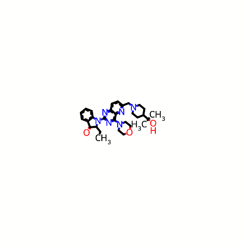 CCC1C(=O)c2ccccc2N1c1nc(N2CCOCC2)c2nc(CN3CCC(C(C)(C)O)CC3)ccc2n1